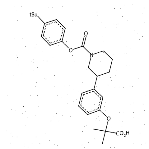 CC(C)(Oc1cccc(C2CCCN(C(=O)Oc3ccc(C(C)(C)C)cc3)C2)c1)C(=O)O